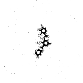 Cc1c(NC(=O)c2ccc(F)c(F)c2Cl)cc(F)cc1-c1nc2ncc(Br)cc2o1